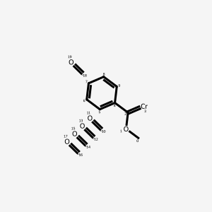 CO[C](=[Cr])c1ccccc1.[C]=O.[C]=O.[C]=O.[C]=O.[C]=O